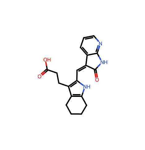 O=C(O)CCc1c(C=C2C(=O)Nc3ncccc32)[nH]c2c1CCCC2